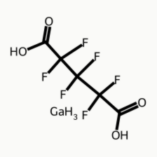 O=C(O)C(F)(F)C(F)(F)C(F)(F)C(=O)O.[GaH3]